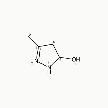 CC1=NNC(O)C1